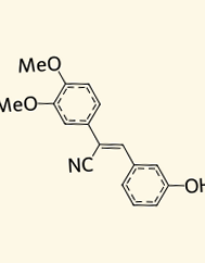 COc1ccc(C(C#N)=Cc2cccc(O)c2)cc1OC